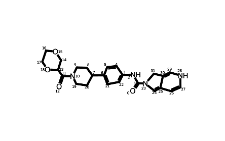 O=C(Nc1ccc(C2CCN(C(=O)C3COCCO3)CC2)cc1)N1C=C2C=CNC=C2C1